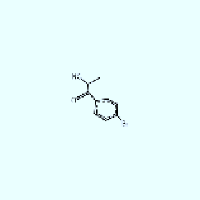 CC(C#N)C(=O)c1ccc(Br)cc1